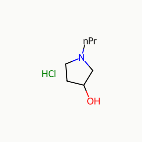 CCCN1CCC(O)C1.Cl